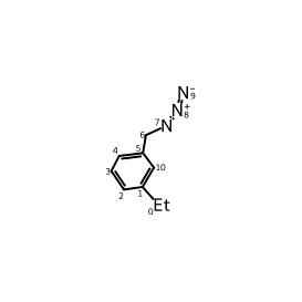 CCc1cccc(CN=[N+]=[N-])c1